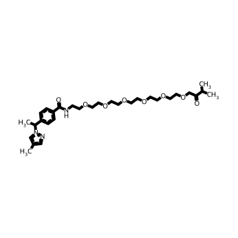 Cc1cnn(C(C)c2ccc(C(=O)NCCOCCOCCOCCOCCOCCOCC(=O)C(C)C)cc2)c1